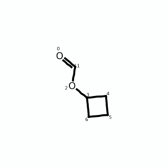 O=[C]OC1CCC1